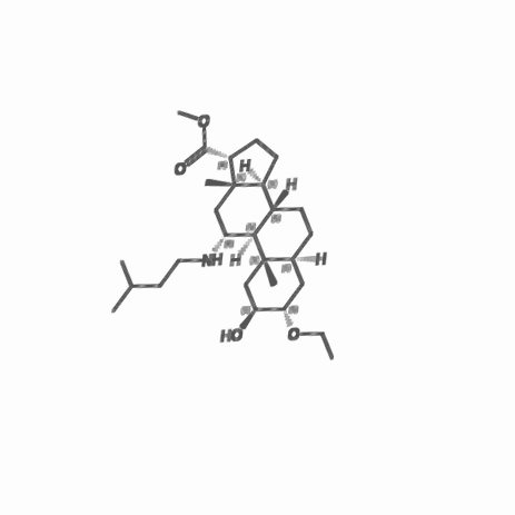 CCO[C@H]1C[C@@H]2CC[C@@H]3[C@H]([C@H](NCCC(C)C)C[C@]4(C)[C@H](C(=O)OC)CC[C@@H]34)[C@@]2(C)C[C@@H]1O